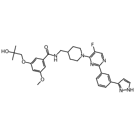 COc1cc(OCC(C)(C)O)cc(C(=O)NCC2CCN(c3nc(-c4cccc(-c5cc[nH]n5)c4)ncc3F)CC2)c1